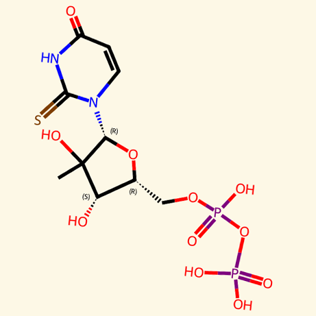 CC1(O)[C@@H](O)[C@@H](COP(=O)(O)OP(=O)(O)O)O[C@H]1n1ccc(=O)[nH]c1=S